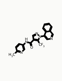 Cc1ccc(NC(=O)c2cnn(-c3cncc4ccccc34)c2C(F)(F)F)cn1